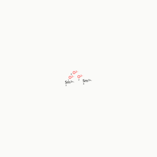 [O-2].[O-2].[O-2].[Sm+3].[Sm+3]